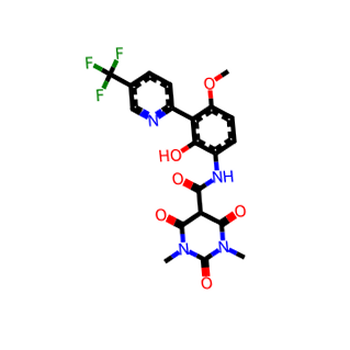 COc1ccc(NC(=O)C2C(=O)N(C)C(=O)N(C)C2=O)c(O)c1-c1ccc(C(F)(F)F)cn1